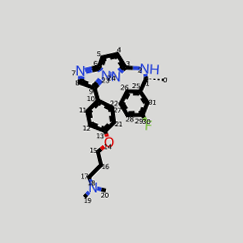 C[C@@H](Nc1ccc2ncc(-c3ccc(OCCCN(C)C)cc3)n2n1)c1cccc(F)c1